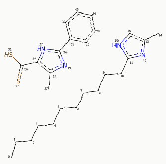 CCCCCCCCCCCc1nc(C)c[nH]1.Cc1nc(-c2ccccc2)[nH]c1C(=S)S